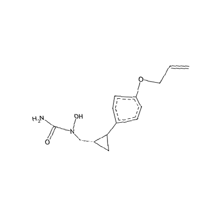 C=CCOc1ccc(C2CC2CN(O)C(N)=O)cc1